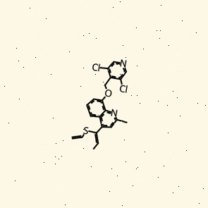 C=CS/C(=C\C)c1cc(C)nc2c(OCc3c(Cl)cncc3Cl)cccc12